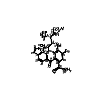 C[C@H](NC(=O)O)[C@H](Nc1nc(Nc2ccc3cnn(C)c3c2)c(C(N)=O)cc1F)C1CCC1